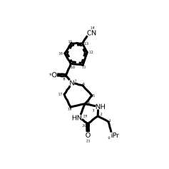 CC(C)CC1NC2(CCN(C(=O)c3ccc(C#N)cc3)CC2)NC1=O